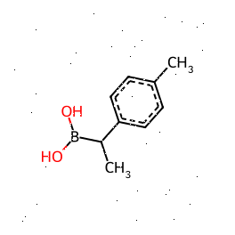 Cc1ccc(C(C)B(O)O)cc1